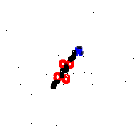 C=CCOC(=O)C=CC(=O)OCCCN(C)C